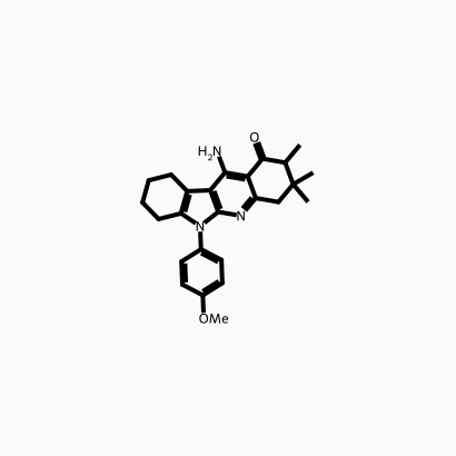 COc1ccc(-n2c3c(c4c(N)c5c(nc42)CC(C)(C)C(C)C5=O)CCCC3)cc1